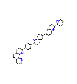 c1ccc(-c2ccc3cc(-c4ccc5nc(-c6ccc(-c7ccc8ccc9cccnc9c8n7)cc6)ccc5c4)ccc3n2)nc1